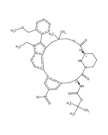 CCn1c(-c2ccccc2COC)c2c3cc(ccc31)-c1cc(cc([N+](=O)[O-])c1)C[C@H](NC(=O)OC(C)(C)C)C(=O)N1CCC[C@H](N1)C(=O)OCC(C)(C)C2